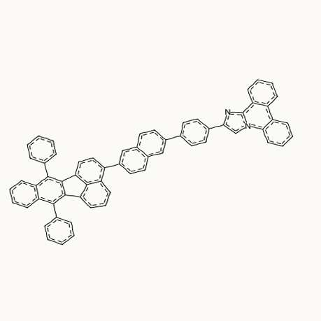 c1ccc(-c2c3c(c(-c4ccccc4)c4ccccc24)-c2ccc(-c4ccc5cc(-c6ccc(-c7cn8c9ccccc9c9ccccc9c8n7)cc6)ccc5c4)c4cccc-3c24)cc1